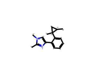 Cc1nc(-c2ccccc2C2(C)CC2C)cn1C